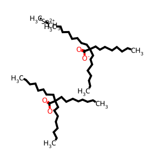 CCCCCCCCC(CCCCCCCC)(CCCCCCCC)C(=O)[O-].CCCCCCCCC(CCCCCCCC)(CCCCCCCC)C(=O)[O-].[CH3][Sn+2][CH3]